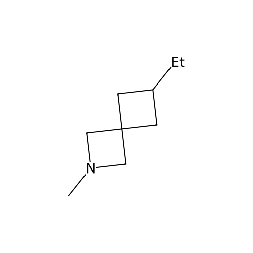 CCC1CC2(C1)CN(C)C2